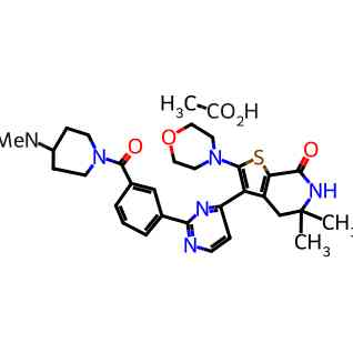 CC(=O)O.CNC1CCN(C(=O)c2cccc(-c3nccc(-c4c(N5CCOCC5)sc5c4CC(C)(C)NC5=O)n3)c2)CC1